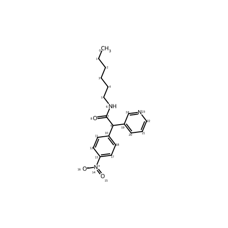 CCCCCCNC(=O)C(c1ccc([N+](=O)[O-])cc1)c1cccnc1